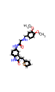 COc1ccc(CNCC(=O)Nc2ccc3c(c2)/C(=C/c2cccs2)C(=O)N3)cc1OC